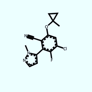 Cn1nccc1-c1c(F)c(Cl)cc(OC2(C)CC2)c1C#N